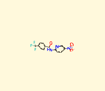 O=C(Nc1ccc([N+](=O)[O-])cn1)c1ccc(C(F)(F)F)cc1